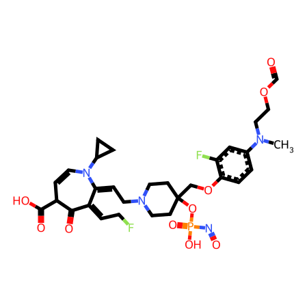 CN(CCOC=O)c1ccc(OCC2(OP(=O)(O)N=O)CCN(C/C=C3\C(=C/CF)C(=O)C(C(=O)O)C=CN3C3CC3)CC2)c(F)c1